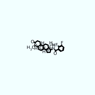 CN1C(=O)CC[C@]2(C)[C@H]3CC[C@]4(C)C(NC(=O)c5cccc(F)c5F)CC[C@H]4[C@@H]3CC[C@@H]12